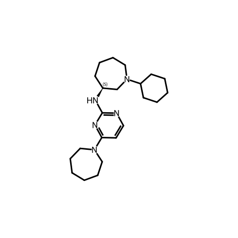 c1cc(N2CCCCCC2)nc(N[C@H]2CCCCN(C3CCCCC3)C2)n1